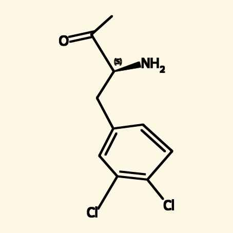 CC(=O)[C@@H](N)Cc1ccc(Cl)c(Cl)c1